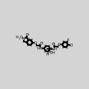 CN1Cc2ccc(OCC(=O)NC34CCC(NC(=O)COc5ccc(Cl)c(F)c5)(CC3)[C@@H](O)C4)cc2C1=O